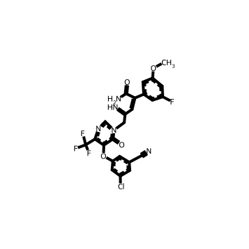 COc1cc(F)cc(/C(=C/C(=N)Cn2cnc(C(F)(F)F)c(Oc3cc(Cl)cc(C#N)c3)c2=O)C(N)=O)c1